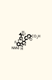 CNc1cc(F)c(F)c2c1[nH]c1ncc(-c3ccc4ccc(C(=O)O)c(=O)n4c3)c(N3CCC(C4(N)CC4)C3)c12